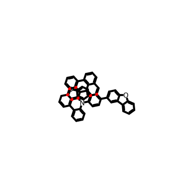 C1=CC(c2ccccc2N(c2ccc(-c3ccc4oc5ccccc5c4c3)cc2)c2ccccc2-c2cccc3cccc(-c4ccccc4)c23)=C2c3ccccc3SC2C1